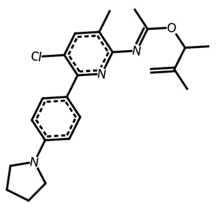 C=C(C)C(C)O/C(C)=N/c1nc(-c2ccc(N3CCCC3)cc2)c(Cl)cc1C